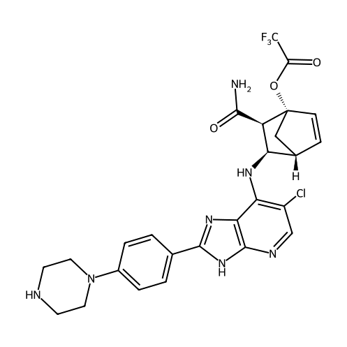 NC(=O)[C@@H]1[C@H](Nc2c(Cl)cnc3[nH]c(-c4ccc(N5CCNCC5)cc4)nc23)[C@H]2C=C[C@@]1(OC(=O)C(F)(F)F)C2